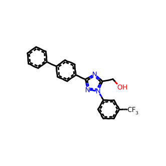 OCc1nc(-c2ccc(-c3ccccc3)cc2)nn1-c1cccc(C(F)(F)F)c1